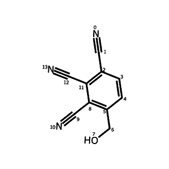 N#Cc1ccc(CO)c(C#N)c1C#N